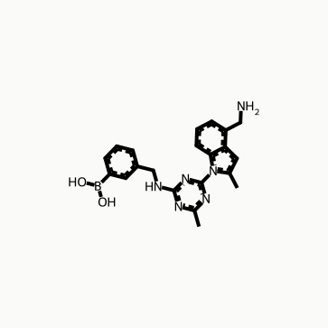 Cc1nc(NCc2cccc(B(O)O)c2)nc(-n2c(C)cc3c(CN)cccc32)n1